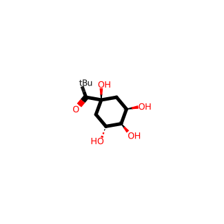 CC(C)(C)C(=O)[C@]1(O)C[C@@H](O)[C@@H](O)[C@H](O)C1